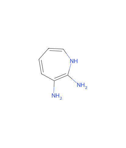 NC1=C(N)NC=CC=C1